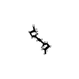 Cc1ccc(C#Cc2ccc(C)s2)s1